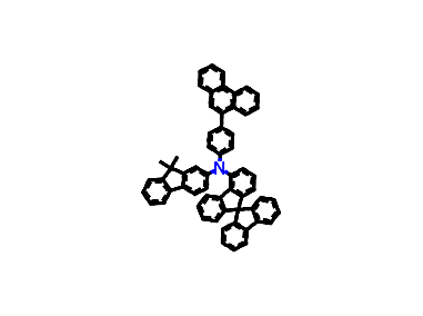 CC1(C)c2ccccc2-c2ccc(N(c3ccc(-c4cc5ccccc5c5ccccc45)cc3)c3cccc4c3-c3ccccc3C43c4ccccc4-c4ccccc43)cc21